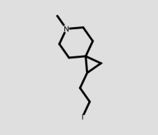 CN1CCC2(CC1)CC2CCI